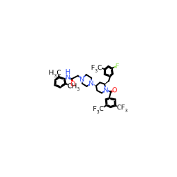 Cc1cccc(C)c1NC(=O)CN1CCN([C@H]2CCN(C(=O)c3cc(C(F)(F)F)cc(C(F)(F)F)c3)[C@H](Cc3cc(F)cc(C(F)(F)F)c3)C2)CC1